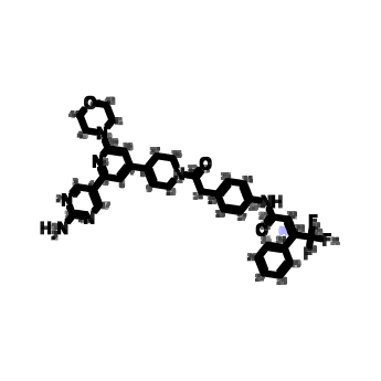 Nc1ncc(-c2cc(C3=CCN(C(=O)Cc4ccc(NC(=O)/C=C(\c5ccccc5)C(F)(F)F)cc4)CC3)cc(N3CCOCC3)n2)cn1